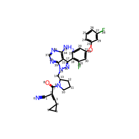 N#C/C(=C\C1CC1)C(=O)N1CCC[C@@H]1Cn1nc(-c2ccc(Oc3cccc(F)c3)cc2F)c2c(N)ncnc21